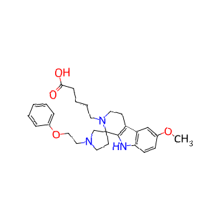 COc1ccc2[nH]c3c(c2c1)CCN(CCCCC(=O)O)C31CCN(CCOc2ccccc2)C1